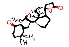 COC(=O)[C@H](CC1=CC(=O)CCC1(C)C)[C@@H]1CCC[C@@]2(C)[C@H]1CC[C@@]21CCC(=O)O1